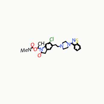 CNC(=O)OC(C)N1C(=O)Cc2cc(CCN3CCN(c4nsc5ccccc45)CC3)c(Cl)cc21